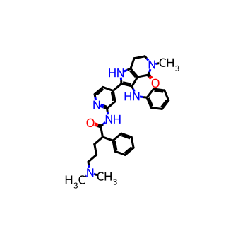 CN(C)CCCC(C(=O)Nc1cc(-c2[nH]c3c(c2Nc2ccccc2)C(=O)N(C)CC3)ccn1)c1ccccc1